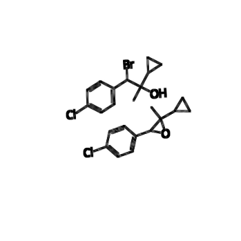 CC(O)(C1CC1)C(Br)c1ccc(Cl)cc1.CC1(C2CC2)OC1c1ccc(Cl)cc1